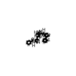 O=C(Nc1cncc(-c2ncc3[nH]nc(-c4nc5c(-c6ccccc6F)cncc5[nH]4)c3c2F)c1)C1CCCCC1